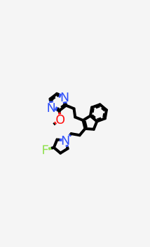 COc1nccnc1CCC1=C(CCN2CCC(F)C2)Cc2ccccc21